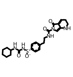 O=C(NC1CCCCC1)N[S+]([O-])c1ccc(CCNC(=O)N2C=C3NCCC=C3C2=O)cc1